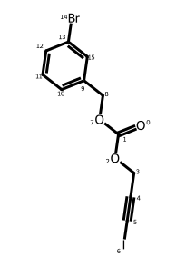 O=C(OCC#CI)OCc1cccc(Br)c1